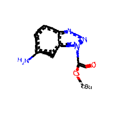 CC(C)(C)OC(=O)n1nnc2ccc(N)cc21